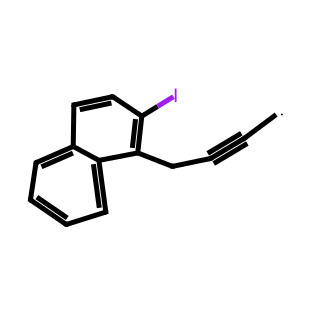 [CH2]C#CCc1c(I)ccc2ccccc12